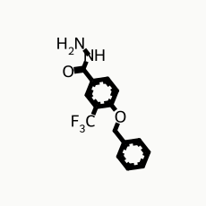 NNC(=O)c1ccc(OCc2ccccc2)c(C(F)(F)F)c1